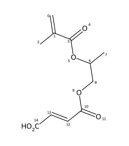 C=C(C)C(=O)OC(C)COC(=O)C=CC(=O)O